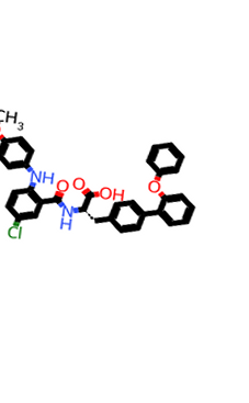 COc1ccc(Nc2ccc(Cl)cc2C(=O)N[C@@H](Cc2ccc(-c3ccccc3Oc3ccccc3)cc2)C(=O)O)cc1